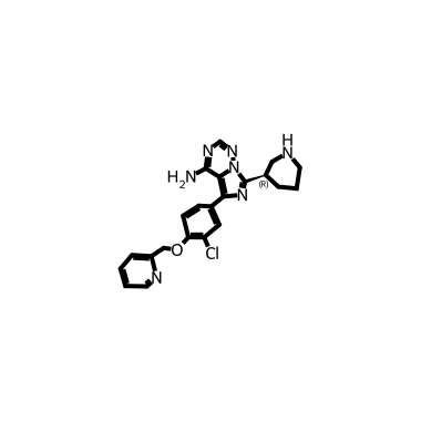 Nc1ncnn2c([C@@H]3CCCNC3)nc(-c3ccc(OCc4ccccn4)c(Cl)c3)c12